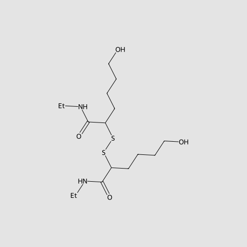 CCNC(=O)C(CCCCO)SSC(CCCCO)C(=O)NCC